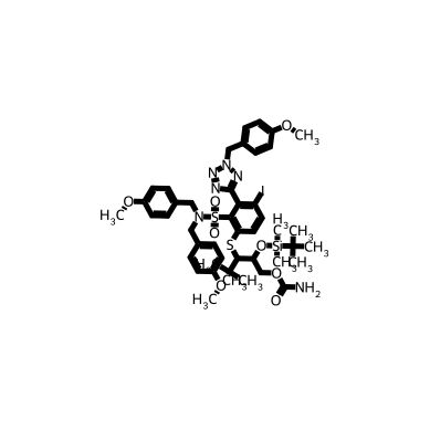 COc1ccc(CN(Cc2ccc(OC)cc2)S(=O)(=O)c2c(SC(C(COC(N)=O)O[Si](C)(C)C(C)(C)C)C(C)(C)C)ccc(I)c2-c2nnn(Cc3ccc(OC)cc3)n2)cc1